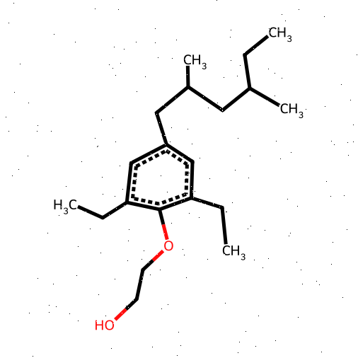 CCc1cc(CC(C)CC(C)CC)cc(CC)c1OCCO